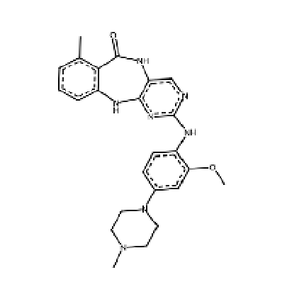 COc1cc(N2CCN(C)CC2)ccc1Nc1ncc2c(n1)Nc1cccc(C)c1C(=O)N2